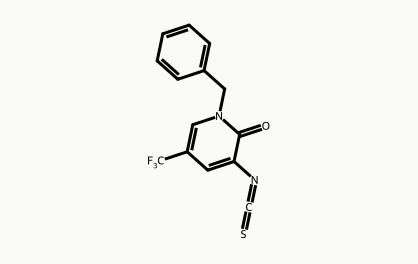 O=c1c(N=C=S)cc(C(F)(F)F)cn1Cc1ccccc1